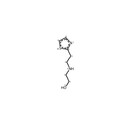 OCCNCCc1nccs1